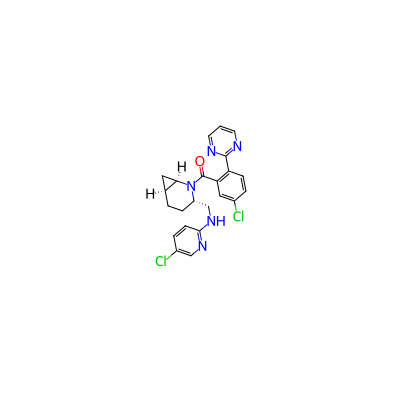 O=C(c1cc(Cl)ccc1-c1ncccn1)N1[C@H](CNc2ccc(Cl)cn2)CC[C@H]2C[C@H]21